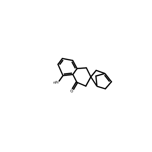 CCCc1cccc2c1C(=O)CC1(CC3=CCC1C3)C2